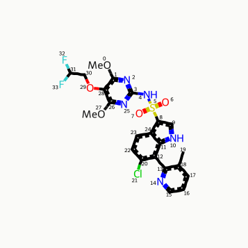 COc1nc(NS(=O)(=O)c2c[nH]c3c(-c4ncccc4C)c(Cl)ccc23)nc(OC)c1OCC(F)F